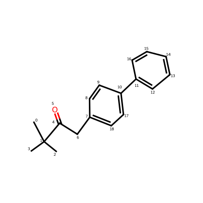 CC(C)(C)C(=O)Cc1ccc(-c2ccccc2)cc1